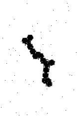 c1ccc(-c2nc(-c3ccc(-c4ccc(-c5cccc6c5ccc5ccc(-c7ccc8c(c7)sc7c(-c9ccccc9)nc(-c9ccc(-c%10ccc(-c%11cccc%12c%11ccc%11cccnc%11%12)cc%10)cc9)nc78)nc56)cc4)cc3)nc3ccccc23)cc1